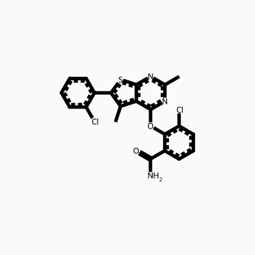 Cc1nc(Oc2c(Cl)cccc2C(N)=O)c2c(C)c(-c3ccccc3Cl)sc2n1